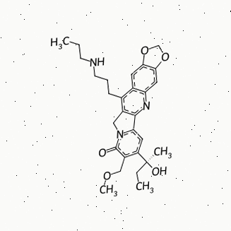 CCCNCCCc1c2c(nc3cc4c(cc13)OCO4)-c1cc([C@@](C)(O)CC)c(COC)c(=O)n1C2